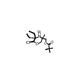 CCC1(CC)NC(C)(COC(=O)C(C)(C)C)COC1=O